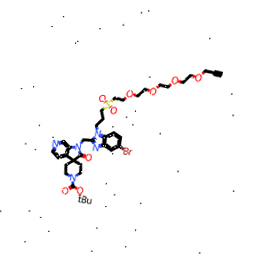 C#CCOCCOCCOCCOCCS(=O)(=O)CCCn1c(CN2C(=O)C3(CCN(C(=O)OC(C)(C)C)CC3)c3ccncc32)nc2cc(Br)ccc21